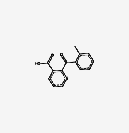 Cc1ccccc1C(=O)c1ncccc1C(=O)O